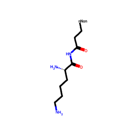 CCCCCCCCCCCC(=O)NC(=O)[C@@H](N)CCCCN